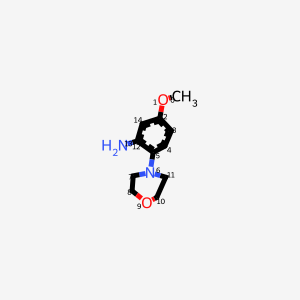 COc1ccc(N2CCOCC2)c(N)c1